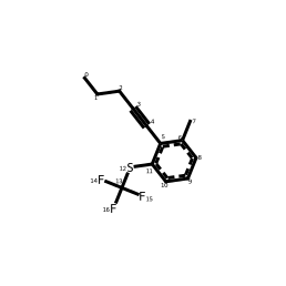 CCCC#Cc1c(C)cccc1SC(F)(F)F